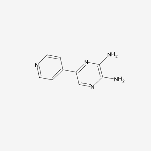 Nc1ncc(-c2ccncc2)nc1N